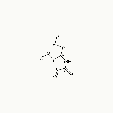 C=CC(=C)BC(CCC)CCC